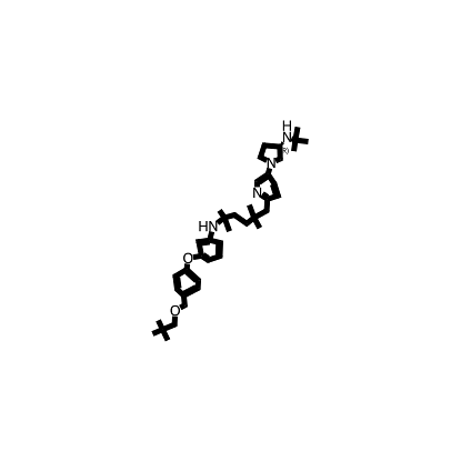 CC(C)(C)COCc1ccc(Oc2cccc(NC(C)(C)CCC(C)(C)Cc3ccc(N4CC[C@@H](NC(C)(C)C)C4)cn3)c2)cc1